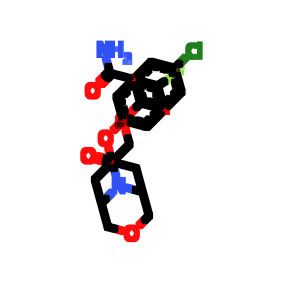 NC(=O)c1cc(Cl)ccc1OCC(=O)N1C2COCC1CC(Oc1ccc(F)cc1)C2